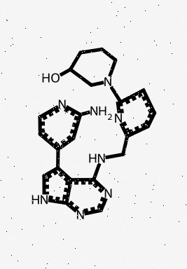 Nc1cc(-c2c[nH]c3ncnc(NCc4cccc(N5CCCC(O)C5)n4)c23)ccn1